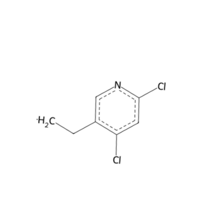 [CH2]Cc1cnc(Cl)cc1Cl